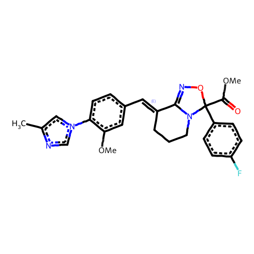 COC(=O)C1(c2ccc(F)cc2)ON=C2/C(=C/c3ccc(-n4cnc(C)c4)c(OC)c3)CCCN21